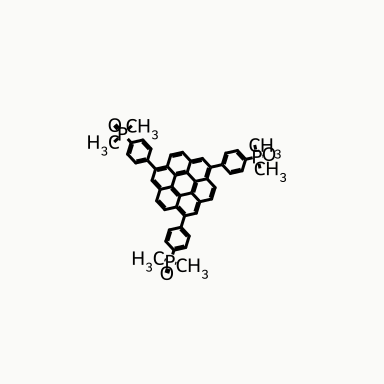 CP(C)(=O)c1ccc(-c2cc3ccc4c(-c5ccc(P(C)(C)=O)cc5)cc5ccc6c(-c7ccc(P(C)(C)=O)cc7)cc7ccc2c2c7c6c5c4c32)cc1